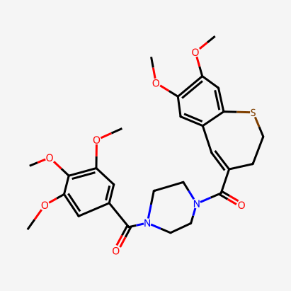 COc1cc2c(cc1OC)SCCC(C(=O)N1CCN(C(=O)c3cc(OC)c(OC)c(OC)c3)CC1)=C2